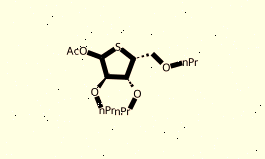 CCCOC[C@H]1SC(OC(C)=O)[C@H](OCCC)[C@H]1OCCC